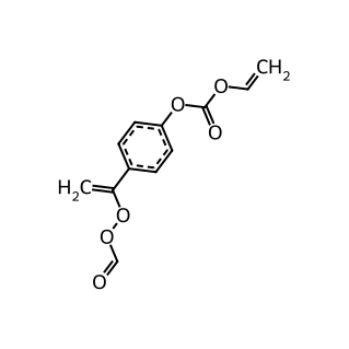 C=COC(=O)Oc1ccc(C(=C)OOC=O)cc1